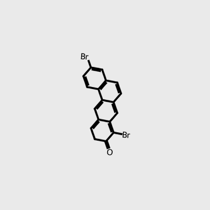 O=C1CC=c2cc3c(ccc4cc(Br)ccc43)cc2=C1Br